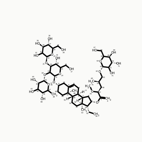 C=C(O[C@H]1C[C@H]2[C@@H]3CC=C4C[C@@H](O[C@@H]5OC(CO)[C@@H](O)[C@H](O[C@@H]6OC(CO)[C@@H](O)[C@H](O)C6O)C5O[C@@H]5OC(C)[C@H](O)C(O)[C@@H]5O)CC[C@]4(C)[C@H]3CC[C@]2(C)[C@H]1CC)[C@H](C[C@@H](C)CO[C@@H]1OC(CO)[C@@H](O)[C@H](O)C1O)OC